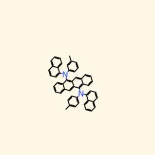 Cc1ccc(N(c2cccc3ccccc23)c2c3ccccc3cc3c(N(c4cccc(C)c4)c4cccc5ccccc45)c4ccccc4cc23)cc1